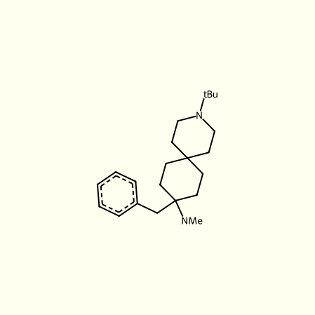 CNC1(Cc2ccccc2)CCC2(CCN(C(C)(C)C)CC2)CC1